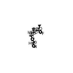 O=C(Nc1cccnc1)c1ccc(-c2csc(NC(=O)[C@@H]3SCCN3C(=O)[C@H](NC(=O)C3CC3)c3ccc(F)cc3)n2)cc1